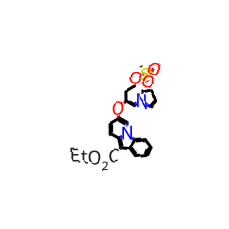 CCOC(=O)c1c2ccccc2n2cc(OC(CCOS(C)(=O)=O)CN3CCCC3)ccc12